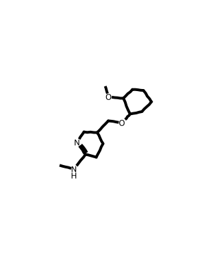 CNC1=NCC(COC2CCCCC2OC)CC1